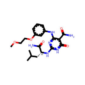 COCCOc1cccc(Nc2nc(N[C@H](CC(C)C)C(N)=O)[nH]c(=O)c2C(N)=O)c1